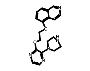 c1cc(OCCOc2nccnc2N2CCNCC2)c2ccncc2c1